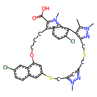 Cc1c2c(nn1C)CSCc1cc(n(C)n1)CSc1cc(c3cc(Cl)ccc3c1)OCCCc1c(C(=O)O)n(C)c3c-2c(Cl)ccc13